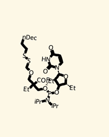 CCCCCCCCCCCCSSCOCC(CC)(COP(OC1[C@@H](CC)O[C@@H](n2ccc(=O)[nH]c2=O)[C@H]1F)N(C(C)C)C(C)C)C(=O)OCC